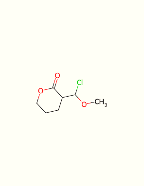 COC(Cl)C1CCCOC1=O